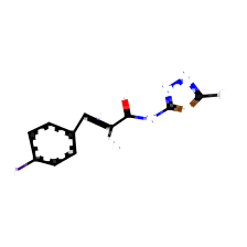 CCc1nnc(NC(=O)/C(C#N)=C/c2ccc(I)cc2)s1